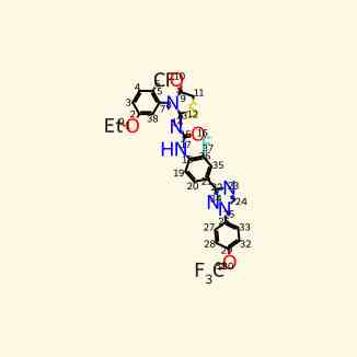 CCOc1ccc(C(F)(F)F)c(N2C(=O)CS/C2=N\C(=O)Nc2ccc(-c3ncn(-c4ccc(OC(F)(F)F)cc4)n3)cc2F)c1